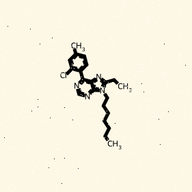 CCCCCCCn1c(CC)nc2c(-c3ccc(C)cc3Cl)ncnc21